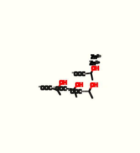 CC(O)C(=O)[O-].CC(O)C(=O)[O-].CC(O)C(=O)[O-].CC(O)C(=O)[O-].[Zn+2].[Zn+2]